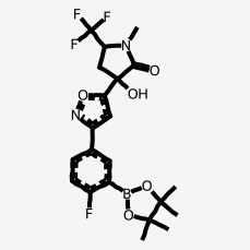 CN1C(=O)C(O)(c2cc(-c3ccc(F)c(B4OC(C)(C)C(C)(C)O4)c3)no2)CC1C(F)(F)F